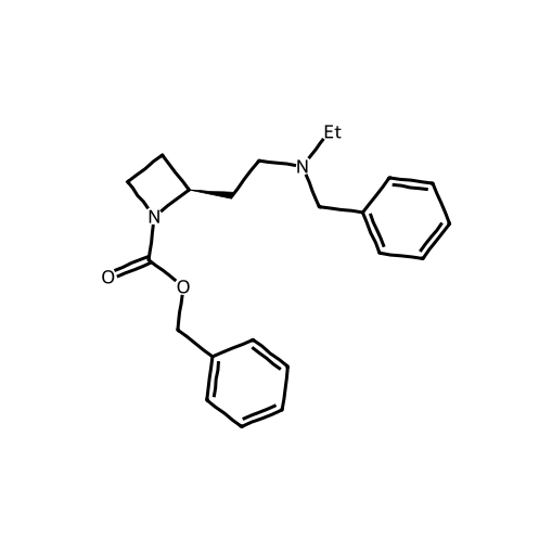 CCN(CC[C@@H]1CCN1C(=O)OCc1ccccc1)Cc1ccccc1